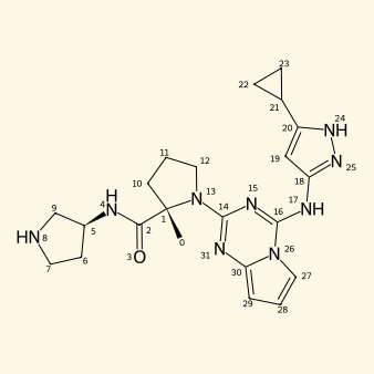 C[C@@]1(C(=O)N[C@H]2CCNC2)CCCN1c1nc(Nc2cc(C3CC3)[nH]n2)n2cccc2n1